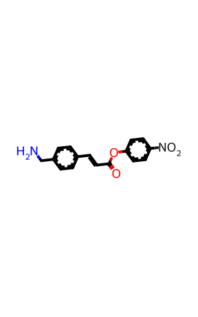 NCc1ccc(C=CC(=O)Oc2ccc([N+](=O)[O-])cc2)cc1